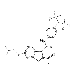 C=C(Nc1ccc(C(C(F)(F)F)C(F)(F)F)cc1)C1c2ccc(SCC(C)C)cc2CN1C(C)=O